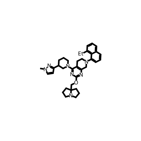 CCc1cccc2cccc(N3CCc4c(nc(OCC56CCCN5CCC6)nc4N4CCCC(c5ccn(C)n5)C4)C3)c12